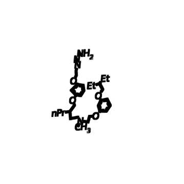 CCCC(CCN(C)CCOc1cccc(OCC(CC)CC)c1)COc1cccc(OCCN=NN)c1